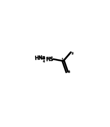 C=C(C)S.[NaH]